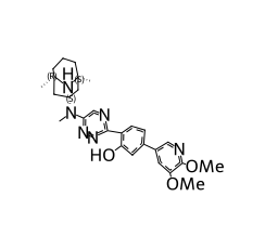 COc1cc(-c2ccc(-c3ncc(N(C)[C@H]4C[C@]5(C)CCC[C@](C)(C4)N5)nn3)c(O)c2)cnc1OC